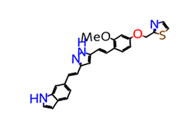 COc1cc(OCc2nccs2)ccc1C=Cc1cc(C=Cc2ccc3cc[nH]c3c2)n[nH]1